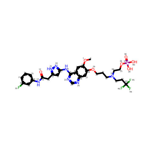 COc1cc2c(Nc3cc(CC(=O)Nc4cccc(F)c4)[nH]n3)ncnc2cc1OCCCN(CCOP(=O)(O)O)CCC(F)(F)F